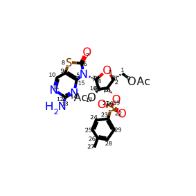 CC(=O)OC[C@H]1O[C@@H](n2c(=O)sc3cnc(N)nc32)[C@H](OC(C)=O)[C@H]1OS(=O)(=O)c1ccc(C)cc1